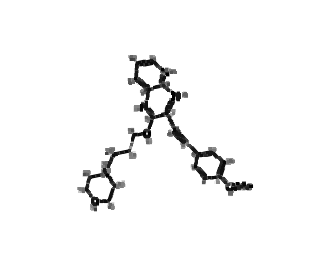 COc1ccc(C#Cc2nc3ncccc3nc2OCCCN2CCOCC2)cc1